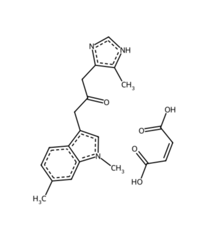 Cc1ccc2c(CC(=O)Cc3nc[nH]c3C)cn(C)c2c1.O=C(O)/C=C\C(=O)O